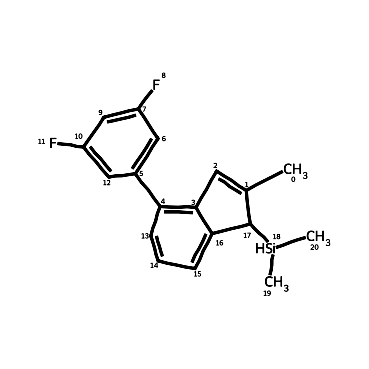 CC1=Cc2c(-c3cc(F)cc(F)c3)cccc2C1[SiH](C)C